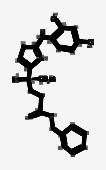 CCOC(=O)[C@@](CC)(CCC(=O)OCc1ccccc1)c1csc(Nc2ccc(Cl)cc2Cl)n1